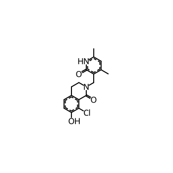 Cc1cc(C)c(CN2CCc3ccc(O)c(Cl)c3C2=O)c(=O)[nH]1